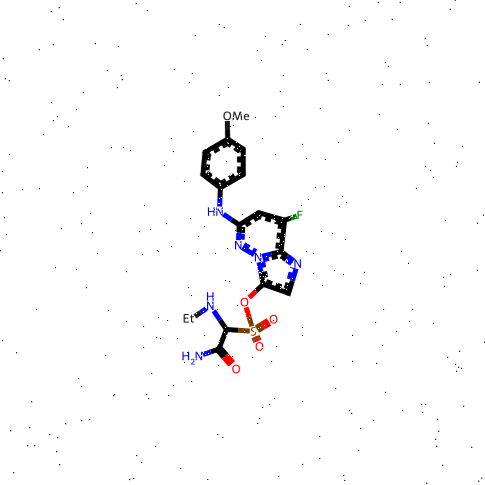 CCNC(C(N)=O)S(=O)(=O)Oc1cnc2c(F)cc(Nc3ccc(OC)cc3)nn12